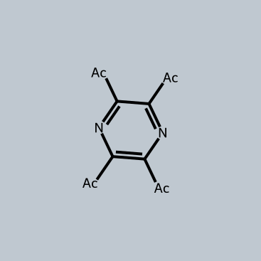 CC(=O)c1nc(C(C)=O)c(C(C)=O)nc1C(C)=O